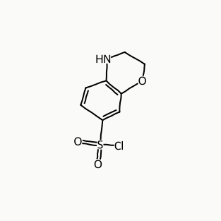 O=S(=O)(Cl)c1ccc2c(c1)OCCN2